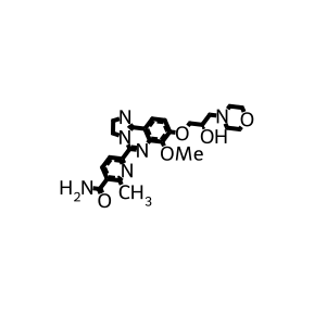 COc1c(OC[C@H](O)CN2CCOCC2)ccc2c1N=C(c1ccc(C(N)=O)c(C)n1)N1CCN=C21